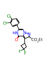 CCOC(=O)c1nn2cc(-c3ccc(Cl)c(Cl)c3)[nH]c(=O)c2c1C1CC(F)(F)C1